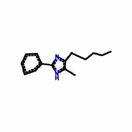 CCCCCc1nc(-c2ccccc2)[nH]c1C